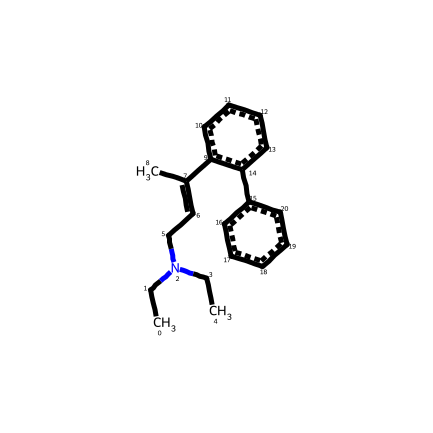 CCN(CC)CC=C(C)c1ccccc1-c1ccccc1